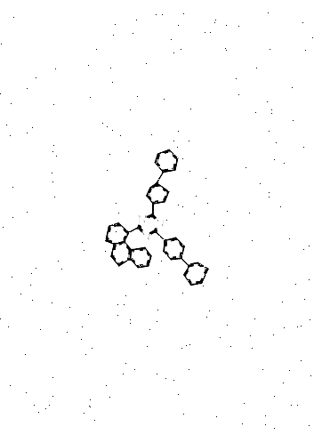 c1ccc(-c2ccc(-c3nc(-c4ccc(-c5ccccc5)cc4)nc(-c4cccc5ccc6ccccc6c45)n3)cc2)cc1